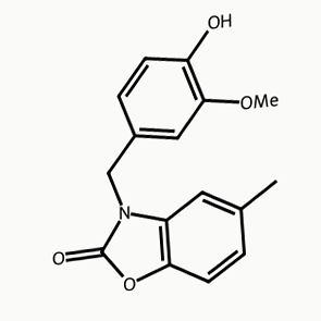 COc1cc(Cn2c(=O)oc3ccc(C)cc32)ccc1O